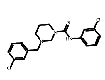 S=C(Nc1cccc(Cl)c1)N1CCCN(Cc2cccc(Cl)c2)C1